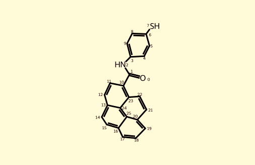 O=C(Nc1ccc(S)cc1)c1ccc2ccc3cccc4ccc1c2c34